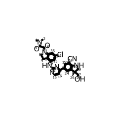 CN(C)C(=O)C(=O)N1CCc2c(Nc3nccc(-c4cc(C#N)c5c(c4)[C@@](C)(CO)CN5)n3)cc(Cl)cc21